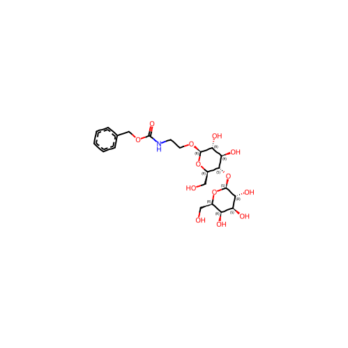 O=C(NCCO[C@@H]1O[C@H](CO)[C@@H](O[C@@H]2O[C@H](CO)[C@H](O)[C@H](O)[C@H]2O)[C@H](O)[C@H]1O)OCc1ccccc1